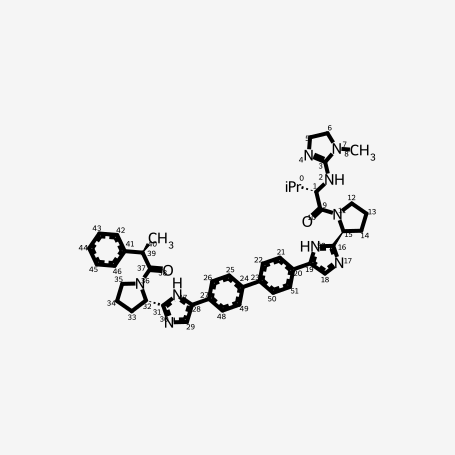 CC(C)[C@H](NC1=NCCN1C)C(=O)N1CCC[C@H]1c1ncc(-c2ccc(-c3ccc(-c4cnc([C@@H]5CCCN5C(=O)[C@H](C)c5ccccc5)[nH]4)cc3)cc2)[nH]1